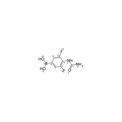 NC(=O)Nc1c(F)cc(B(O)O)cc1F